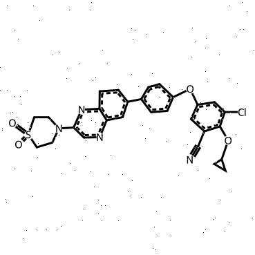 N#Cc1cc(Oc2ccc(-c3ccc4nc(N5CCS(=O)(=O)CC5)cnc4c3)cc2)cc(Cl)c1OC1CC1